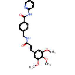 COc1cc(/C=C/C(=O)NCc2ccc(C(=O)Nc3ccccn3)cc2)cc(OC)c1OC